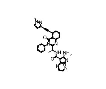 C[C@H](NC(=O)c1c(N)nn2nccnc12)c1nc2cccc(C#Cc3ccn(C)n3)c2c(=O)n1-c1ccccc1